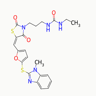 CCNC(=O)NCCCN1C(=O)SC(=Cc2ccc(Sc3nc4ccccc4n3C)o2)C1=O